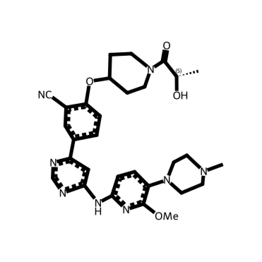 COc1nc(Nc2cc(-c3ccc(OC4CCN(C(=O)[C@H](C)O)CC4)c(C#N)c3)ncn2)ccc1N1CCN(C)CC1